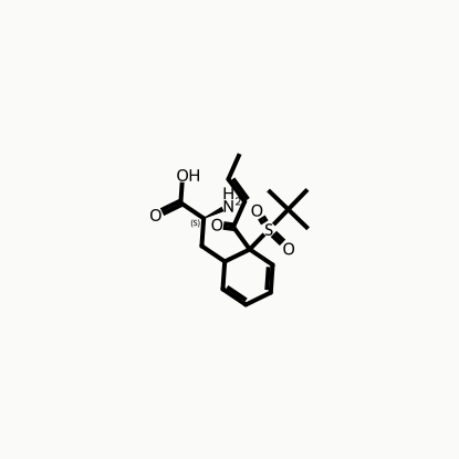 CC=CC(=O)C1(S(=O)(=O)C(C)(C)C)C=CC=CC1C[C@H](N)C(=O)O